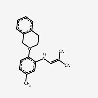 N#CC(C#N)=CNc1cc(C(F)(F)F)ccc1N1CCc2ccccc2C1